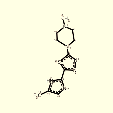 CN1CCN(c2nnc(-c3ncc(C(F)(F)F)[nH]3)s2)CC1